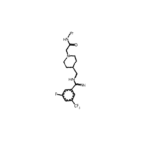 CC(C)NC(=O)CN1CCC(CNC(=N)c2cc(F)cc(C(F)(F)F)c2)CC1